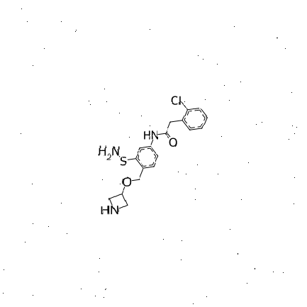 NSc1cc(NC(=O)Cc2ccccc2Cl)ccc1COC1CNC1